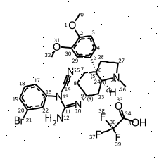 COc1ccc([C@@]23CC[C@@H](N=C(N)N(C#N)c4cccc(Br)c4)C[C@@H]2N(C)CC3)cc1OC.O=C(O)C(F)(F)F